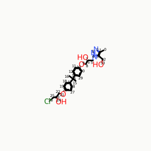 Cc1nnn(CC(O)COc2ccc(C(C)(C)c3ccc(OCC(O)CCl)cc3)cc2)c1CO